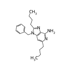 CCCCc1cc2c(nc(CCCC)n2Cc2ccccc2)c(N)n1